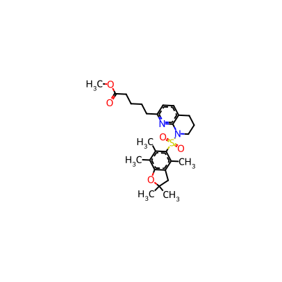 COC(=O)CCCCc1ccc2c(n1)N(S(=O)(=O)c1c(C)c(C)c3c(c1C)CC(C)(C)O3)CCC2